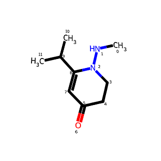 CNN1CCC(=O)C=C1C(C)C